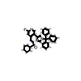 O=C(/C=C/c1cc(F)ncc1-c1cn(C(c2ccccc2)(c2ccccc2)c2ccccc2)cn1)C1CCCCC1